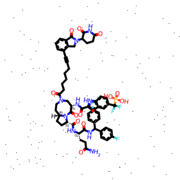 NC(=O)CC[C@H](NC(=O)[C@@H]1CC[C@@H]2CCN(C(=O)CCCCCC#Cc3cccc4c3CN(C3CCC(=O)NC3=O)C4=O)C[C@H](NC(=O)c3cc4cc(C(F)(F)P(=O)(O)O)ccc4[nH]3)C(=O)N21)C(=O)NC(c1ccc(F)cc1)c1ccc(F)cc1